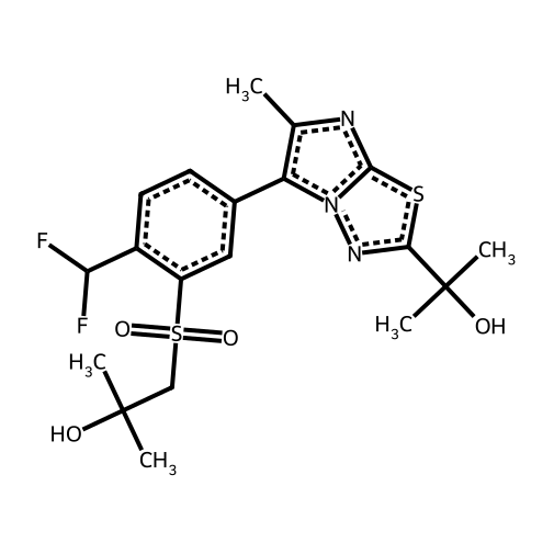 Cc1nc2sc(C(C)(C)O)nn2c1-c1ccc(C(F)F)c(S(=O)(=O)CC(C)(C)O)c1